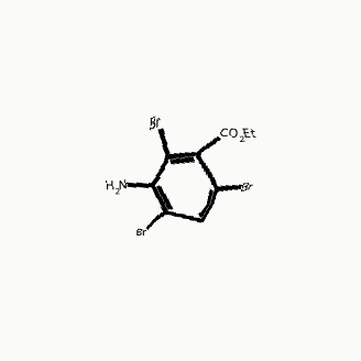 CCOC(=O)c1c(Br)cc(Br)c(N)c1Br